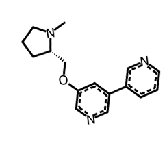 CN1CCC[C@H]1COc1cncc(-c2cccnc2)c1